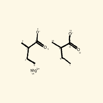 CCC(C)C(=O)[O-].CCC(C)C(=O)[O-].[Mg+2]